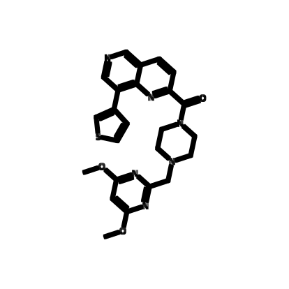 COc1cc(OC)nc(CN2CCN(C(=O)c3ccc4cncc(-c5ccsc5)c4n3)CC2)n1